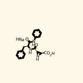 O=C(Nc1ccccc1)[C@H](Cc1ccccc1)NC(=O)[C@H]1N[C@@H]1C(=O)O.[NaH]